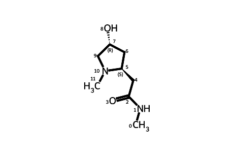 CNC(=O)C[C@@H]1C[C@@H](O)CN1C